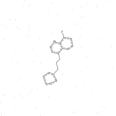 Fc1cccc2c(CCCc3ccccc3)ccnc12